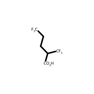 O=C(O)C(CCC(F)(F)F)C(F)(F)F